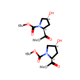 COC(=O)[C@@H]1C[C@@H](O)CN1C(=O)OC(C)(C)C.COC(=O)[C@@H]1C[C@@H](O)CN1C(=O)OC(C)(C)C